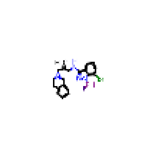 CC(CNc1nn(PI)c2c(Br)cccc12)CN1CCc2ccccc2C1